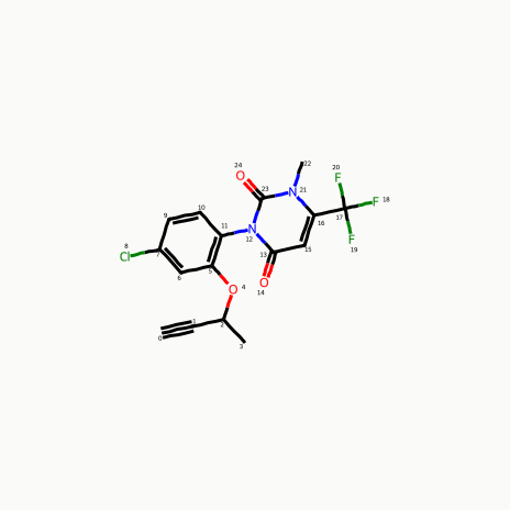 C#CC(C)Oc1cc(Cl)ccc1-n1c(=O)cc(C(F)(F)F)n(C)c1=O